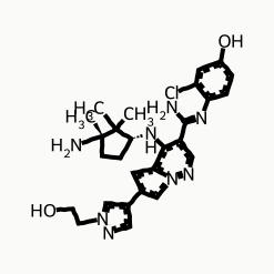 CC1(C)[C@H](Nc2c(/C(N)=N/c3ccc(O)cc3Cl)cnn3cc(-c4cnn(CCO)c4)cc23)CC[C@]1(C)N